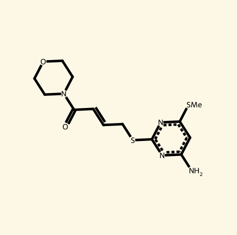 CSc1cc(N)nc(SCC=CC(=O)N2CCOCC2)n1